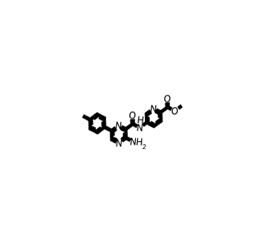 COC(=O)c1ccc(NC(=O)c2nc(-c3ccc(C)cc3)cnc2N)cn1